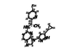 C[C@H](Nc1ccc2ncn(-c3cc(C4CC4)[nH]n3)c2n1)c1ccc(F)cn1